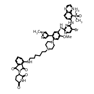 COc1cc(N2CCN(CCCCCCNc3cccc4c3C(=O)N(C3CCC(=O)NC3=O)C4=O)CC2)c(-c2cnn(C)c2)cc1Nc1ncc(Br)c(Nc2ccc3nccnc3c2P(C)(C)=O)n1